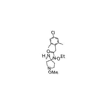 CCON(C(=O)Cc1c(C)cc(Cl)cc1C)C1(N)CCN(OC)CC1